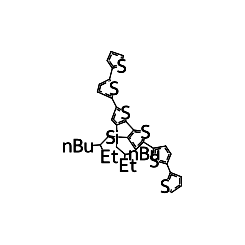 CCCCC(CC)C[Si]1(CC(CC)CCCC)c2cc(-c3ccc(-c4cccs4)s3)sc2-c2sc(-c3ccc(-c4cccs4)s3)cc21